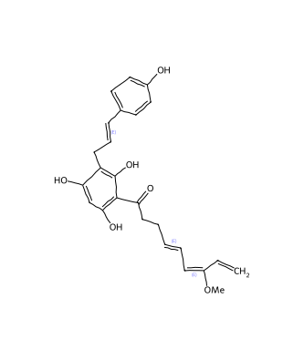 C=C/C(=C\C=C\CCC(=O)c1c(O)cc(O)c(C/C=C/c2ccc(O)cc2)c1O)OC